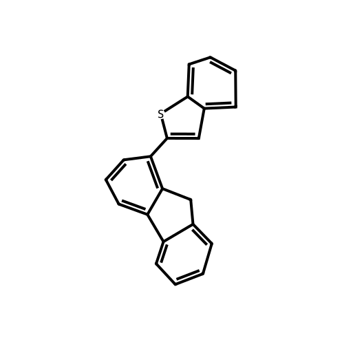 c1ccc2c(c1)Cc1c(-c3cc4ccccc4s3)cccc1-2